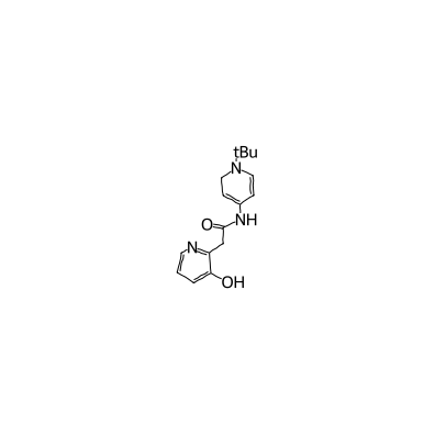 CC(C)(C)N1C=CC(NC(=O)Cc2ncccc2O)=CC1